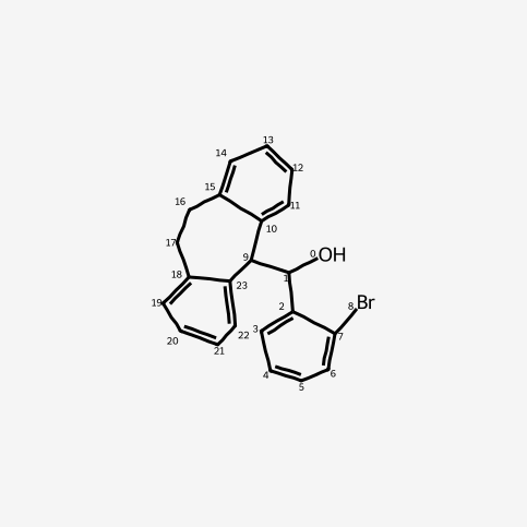 OC(c1ccccc1Br)C1c2ccccc2CCc2ccccc21